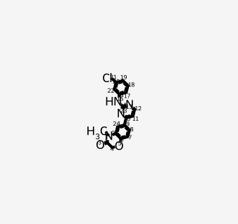 CN1C(=O)COc2ccc(-c3ccnc(Nc4cccc(Cl)c4)n3)cc21